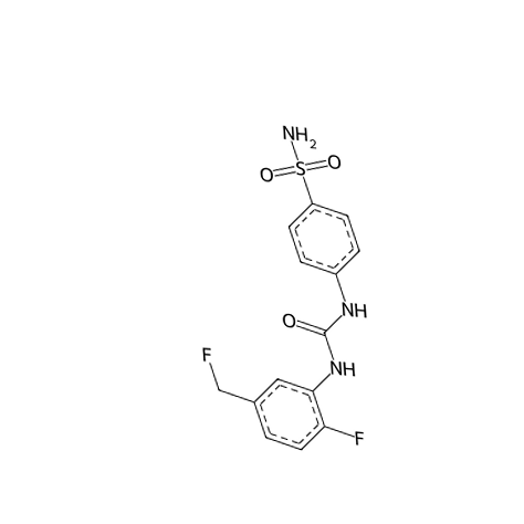 NS(=O)(=O)c1ccc(NC(=O)Nc2cc(CF)ccc2F)cc1